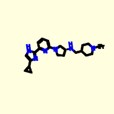 CC(C)N1CCC(CN[C@@H]2CCN(c3cccc(-c4nc(C5CC5)c[nH]4)n3)C2)CC1